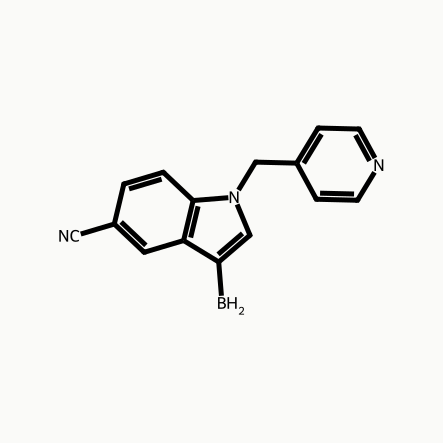 Bc1cn(Cc2ccncc2)c2ccc(C#N)cc12